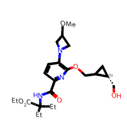 CCOC(=O)C(CC)(CC)NC(=O)c1ccc(N2CC(OC)C2)c(OCC2C[C@@H]2CO)n1